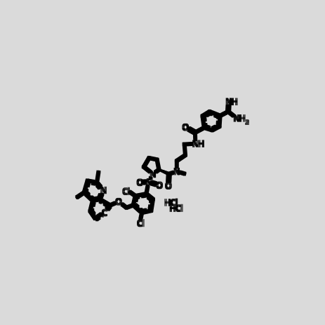 Cc1cc(C)c2cccc(OCc3c(Cl)ccc(S(=O)(=O)N4CCC[C@H]4C(=O)N(C)CCCNC(=O)c4ccc(C(=N)N)cc4)c3Cl)c2n1.Cl.Cl